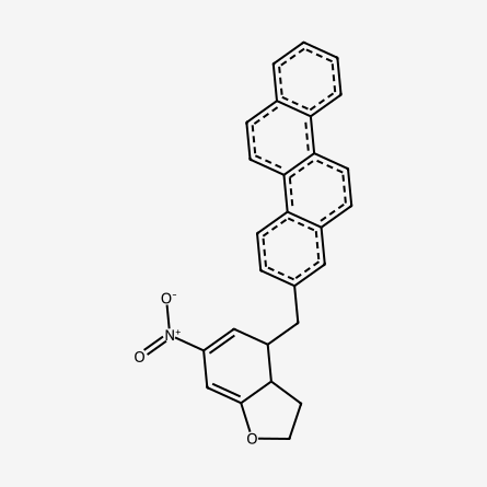 O=[N+]([O-])C1=CC(Cc2ccc3c(ccc4c5ccccc5ccc34)c2)C2CCOC2=C1